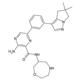 CC1(C)Cc2c(-c3cccc(-c4cnc(N)c(C(=O)NC5CNCCOC5)n4)c3)cnn2C1